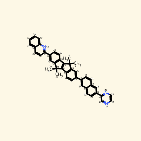 CC1(C)C2=C(c3ccc(-c4ccc5cc(-c6cnccn6)ccc5c4)cc31)C(C)(C)c1cc(-c3ccc4ccccc4n3)ccc12